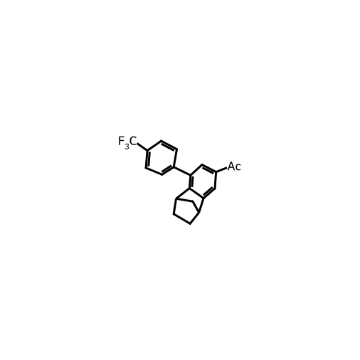 CC(=O)c1cc(-c2ccc(C(F)(F)F)cc2)c2c(c1)C1CCC2C1